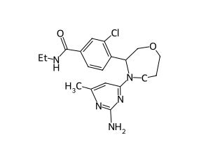 CCNC(=O)c1ccc(C2COCCCN2c2cc(C)nc(N)n2)c(Cl)c1